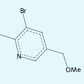 COCc1cnc(C)c(Br)c1